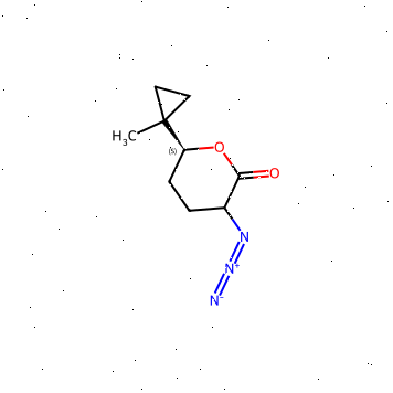 CC1([C@@H]2CCC(N=[N+]=[N-])C(=O)O2)CC1